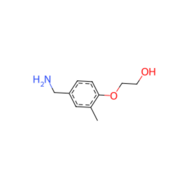 Cc1cc(CN)ccc1OCCO